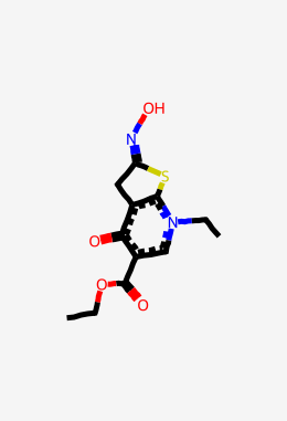 CCOC(=O)c1cn(CC)c2c(c1=O)CC(=NO)S2